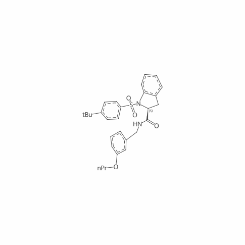 CCCOc1cccc(CNC(=O)[C@@H]2Cc3ccccc3N2S(=O)(=O)c2ccc(C(C)(C)C)cc2)c1